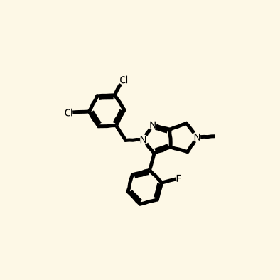 CN1Cc2nn(Cc3cc(Cl)cc(Cl)c3)c(-c3ccccc3F)c2C1